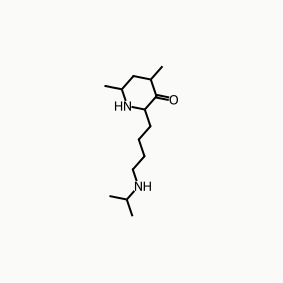 CC(C)NCCCCC1NC(C)CC(C)C1=O